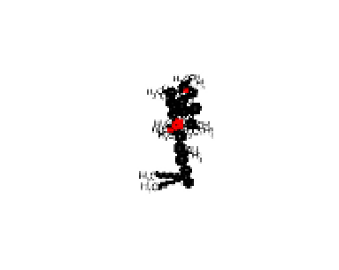 CCCCCCCCC1(CCCCCCCC)c2ccccc2-c2ccc(-c3ccc4c(c3)C(C)(C)c3cc(-c5ccc6c(c5)C(C)(C)c5cc(-c7ccc8c(c7)C7(c9ccccc9-8)c8cc(N(c9ccc(C(C)(C)C)cc9)c9ccc(C(C)(C)C)cc9)c9c(oc%10ccccc%109)c8-c8c7cc(N(c7ccc(C(C)(C)C)cc7)c7ccc(C(C)(C)C)cc7)c7oc9ccccc9c87)ccc5-6)ccc3-4)cc21